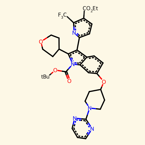 CCOC(=O)c1ccc(-c2c(C3CCOCC3)n(C(=O)OC(C)(C)C)c3cc(OC4CCN(c5ncccn5)CC4)ccc23)nc1C(F)(F)F